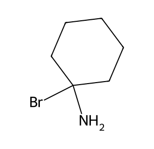 NC1(Br)CCCCC1